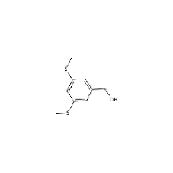 CSc1cc([CH]O)cc(SC)c1